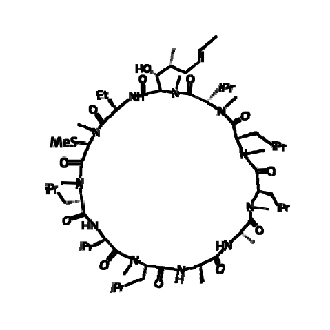 C/C=C/C[C@@H](C)[C@@H](O)C1C(=O)N[C@H](CC)C(=O)N(C)C(SC)C(=O)N(C)[C@@H](CC(C)C)C(=O)N[C@H](C(C)C)C(=O)N(C)C(CC(C)C)C(=O)N[C@H](C)C(=O)N[C@@H](C)C(=O)N(C)[C@H](CC(C)C)C(=O)N(C)[C@H](CC(C)C)C(=O)N(C)[C@@H](C(C)C)C(=O)N1C